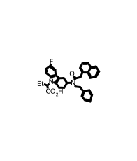 CCC(C(=O)O)n1c2c(c3cc(F)ccc31)CC(N(CCc1ccccc1)C(=O)Cc1cccc3ccccc13)CC2